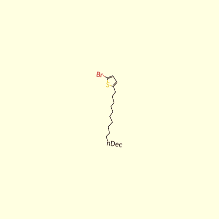 CCCCCCCCCCCCCCCCCCCCc1ccc(Br)s1